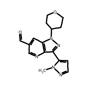 Cn1nccc1-c1nn(C2CCOCC2)c2cc(C=O)cnc12